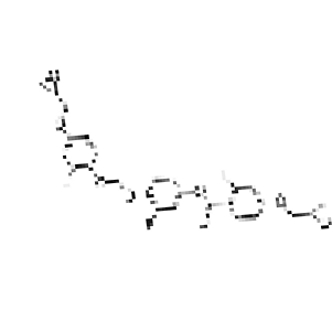 O=C(Oc1ccc(OCOc2ccc(OCC3CO3)cc2F)c(F)c1)c1ccc(OCC2CO2)cc1F